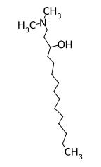 CCCCCCCCCCCCC(O)CCN(C)C